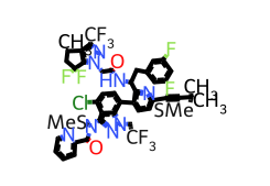 CSN(C(=O)c1ccccn1)c1nn(CC(F)(F)F)c2c(-c3ccc(C#CC(C)(C)SC)nc3C(Cc3cc(F)cc(F)c3)NC(=O)Cn3nc(C(F)(F)F)c4c3C(F)(F)C[C@@H]4C)ccc(Cl)c12